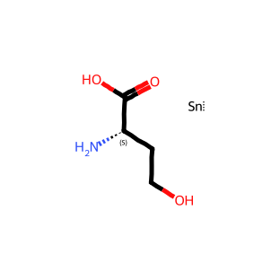 N[C@@H](CCO)C(=O)O.[Sn]